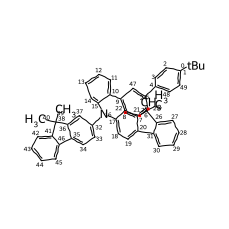 CC(C)(C)c1ccc(-c2cccc(-c3ccccc3N(c3ccc4c(c3)C(C)(C)c3ccccc3-4)c3ccc4c(c3)C(C)(C)c3ccccc3-4)c2)cc1